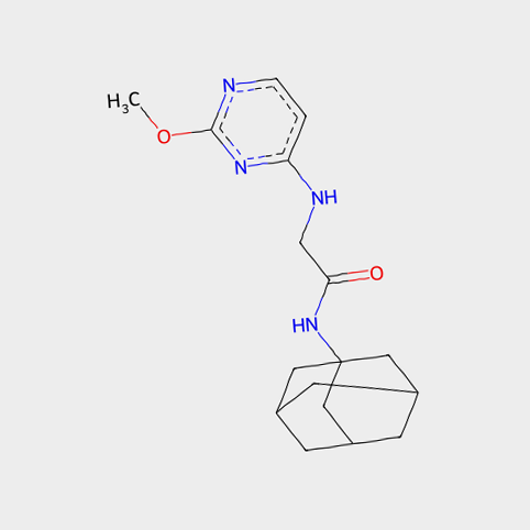 COc1nccc(NCC(=O)NC23CC4CC(CC(C4)C2)C3)n1